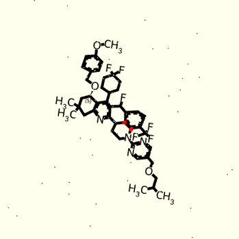 COc1ccc(CO[C@H]2CC(C)(C)Cc3nc(C4CCN(c5ncc(COCC(C)C)cn5)CC4)c(C(F)c4ccc(C(F)(F)F)cc4)c(C4CCC(F)(F)CC4)c32)cc1